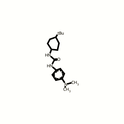 CN(C)c1ccc(NC(=O)NC2CCC(C(C)(C)C)CC2)cc1